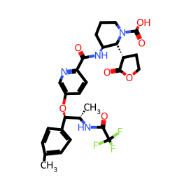 Cc1ccc([C@@H](Oc2ccc(C(=O)N[C@H]3CCCN(C(=O)O)C3[C@@H]3CCOC3=O)nc2)[C@H](C)NC(=O)C(F)(F)F)cc1